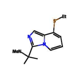 CCSc1cccn2c(C(C)(C)NC)ncc12